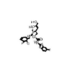 CN(C(=O)NCc1cccc(F)c1Cl)[C@H](COC(=O)Nc1nc2ccc(F)cc2s1)C[C@@H](O)CO